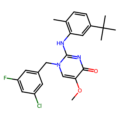 COc1cn(Cc2cc(F)cc(Cl)c2)c(Nc2cc(C(C)(C)C)ccc2C)nc1=O